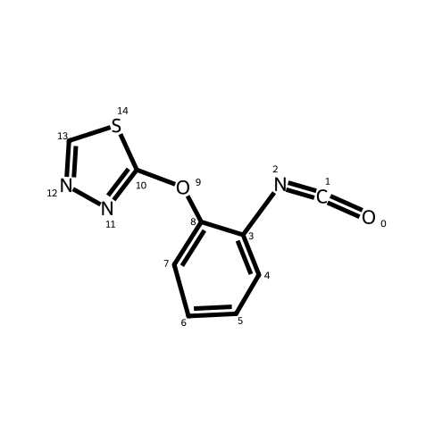 O=C=Nc1ccccc1Oc1nncs1